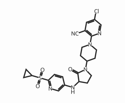 N#Cc1cc(Cl)cnc1N1CCC(N2CCC(Nc3ccc(S(=O)(=O)C4CC4)nc3)C2=O)CC1